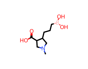 CN1CC(CCCB(O)O)C(C(=O)O)C1